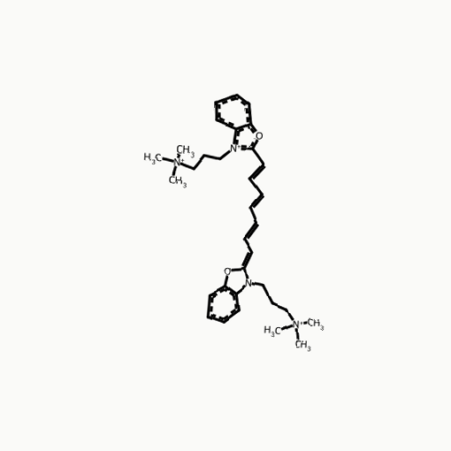 C[N+](C)(C)CCCN1/C(=C/C=C/C=C/C=C/c2oc3ccccc3[n+]2CCC[N+](C)(C)C)Oc2ccccc21